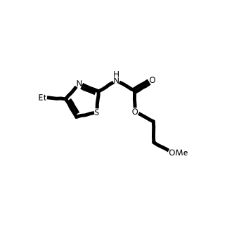 CCc1csc(NC(=O)OCCOC)n1